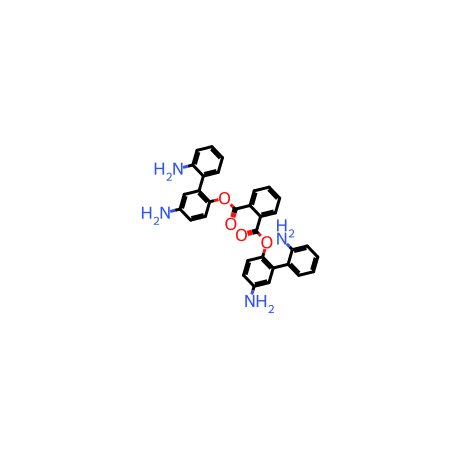 Nc1ccc(OC(=O)c2ccccc2C(=O)Oc2ccc(N)cc2-c2ccccc2N)c(-c2ccccc2N)c1